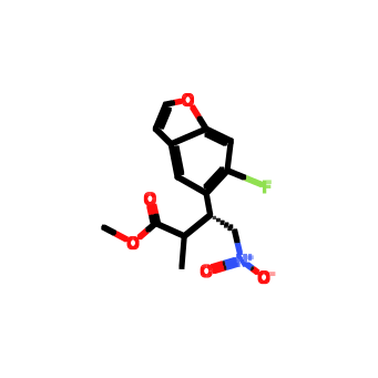 COC(=O)C(C)[C@@H](C[N+](=O)[O-])c1cc2ccoc2cc1F